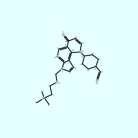 C[Si](C)(C)CCOCn1ccc2c1ncc1c(=O)ccn(C3CCC(C=O)CC3)c12